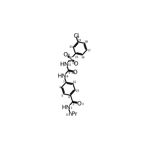 CCCNC(=O)c1ccc(NC(=O)NS(=O)(=O)c2cccc(Cl)c2)cc1